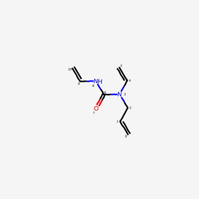 C=CCN(C=C)C(=O)NC=C